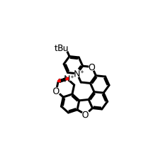 CC(C)(C)c1cc[n+]2c(c1)Oc1ccc3ccc4oc5ccc6c(c5c4c3c1C2)C[n+]1ccccc1O6